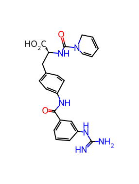 N=C(N)Nc1cccc(C(=O)Nc2ccc(C[C@H](NC(=O)N3C=CC=CC3)C(=O)O)cc2)c1